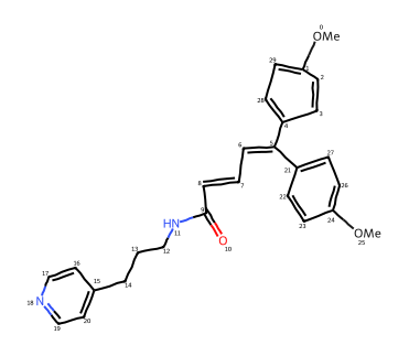 COc1ccc(C(=C/C=C/C(=O)NCCCc2ccncc2)c2ccc(OC)cc2)cc1